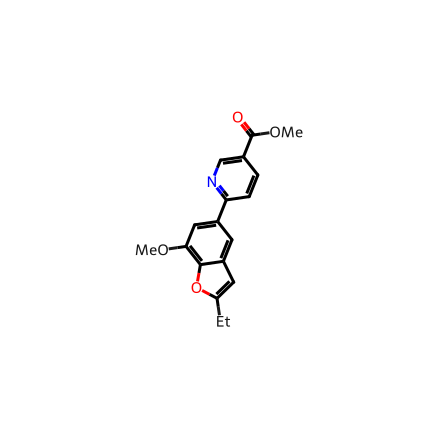 CCc1cc2cc(-c3ccc(C(=O)OC)cn3)cc(OC)c2o1